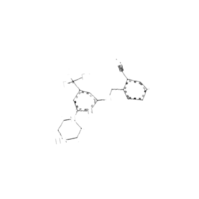 N#Cc1ccccc1COc1cc(C(F)(F)F)cc(N2CCNCC2)n1